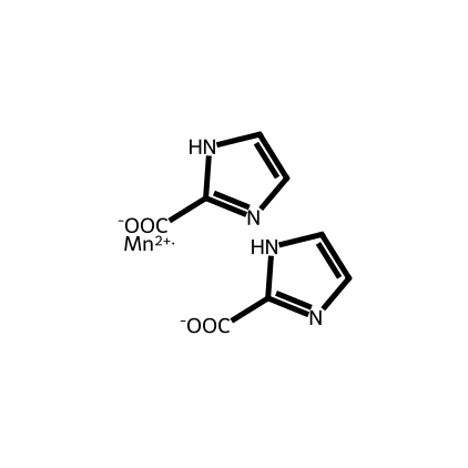 O=C([O-])c1ncc[nH]1.O=C([O-])c1ncc[nH]1.[Mn+2]